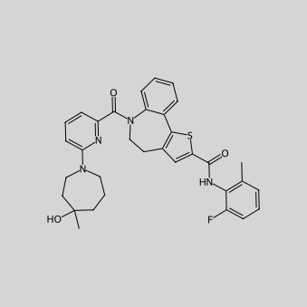 Cc1cccc(F)c1NC(=O)c1cc2c(s1)-c1ccccc1N(C(=O)c1cccc(N3CCCC(C)(O)CC3)n1)CC2